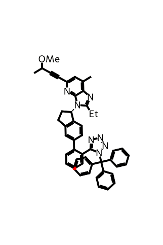 CCc1nc2c(C)cc(C#CC(C)OC)nc2n1[C@H]1CCc2cc(-c3ccccc3-c3nnnn3C(c3ccccc3)(c3ccccc3)c3ccccc3)ccc21